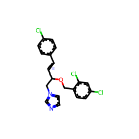 Clc1ccc(/C=C/C(Cn2ccnc2)OCc2ccc(Cl)cc2Cl)cc1